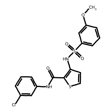 COc1cccc(S(=O)(=O)Nc2ccsc2C(=O)Nc2cccc(Cl)c2)c1